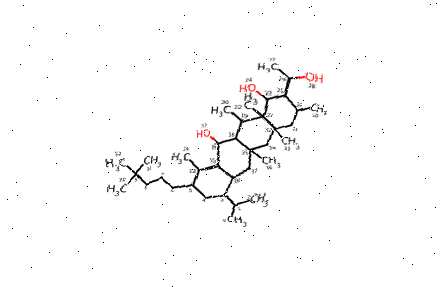 CC(C)C1CC(CCCC(C)(C)C)C(C)C2C(O)C3C(C)C4(C)C(O)C(C(C)O)C(C)CC4(C)CC3(C)CC12